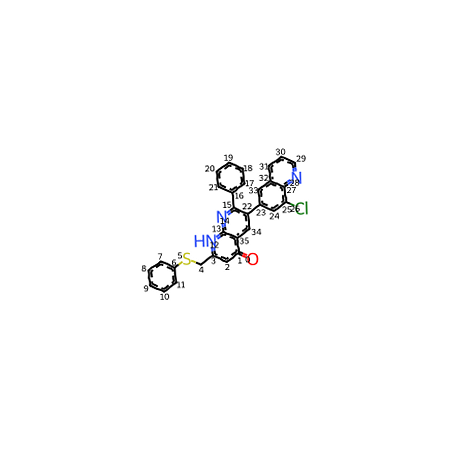 O=c1cc(CSc2ccccc2)[nH]c2nc(-c3ccccc3)c(-c3cc(Cl)c4ncccc4c3)cc12